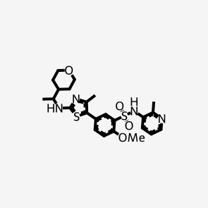 COc1ccc(-c2sc(NC(C)C3CCOCC3)nc2C)cc1S(=O)(=O)Nc1cccnc1C